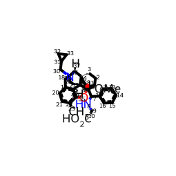 CO[C@]12CC[C@@]3(C[C@@H]1C(NCC(=O)O)c1ccccc1)[C@H]1Cc4ccc(C)c5c4[C@@]3(CCN1CC1CC1)[C@H]2O5